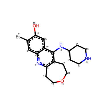 CCc1cc2nc3c(c(NC4CCNCC4)c2cc1O)CCOCC3